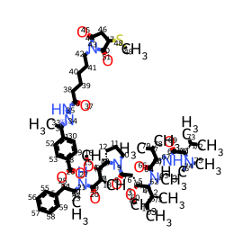 CC[C@H](C)[C@@H]([C@@H](CC(=O)N1CCC[C@H]1[C@H](OC)[C@@H](C)C(=O)N[C@H](C)[C@@H](OC(=O)c1ccc(/C(C)=N/NC(=O)CCCCCN2C(=O)CC(SC)C2=O)cc1)c1ccccc1)OC)N(C)C(=O)[C@@H](NC(=O)[C@H](C(C)C)N(C)C)C(C)C